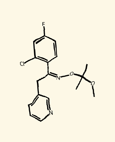 COC(C)(C)ON=C(Cc1cccnc1)c1ccc(F)cc1Cl